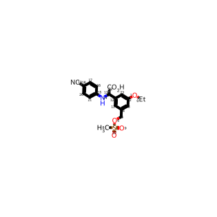 CCOc1cc(COS(C)(=O)=O)cc(C(Nc2ccc(C#N)cc2)C(=O)O)c1